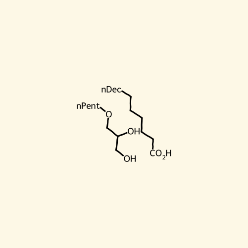 CCCCCCCCCCCCCCCC(=O)O.CCCCCOCC(O)CO